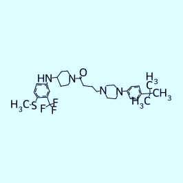 CSc1ccc(NC2CCN(C(=O)CCCN3CCN(c4ccc(C(C)(C)C)cc4)CC3)CC2)cc1C(F)(F)F